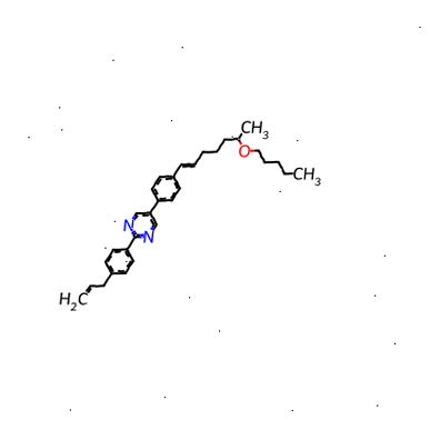 C=CCc1ccc(-c2ncc(-c3ccc(C=CCCCC(C)OCCCCC)cc3)cn2)cc1